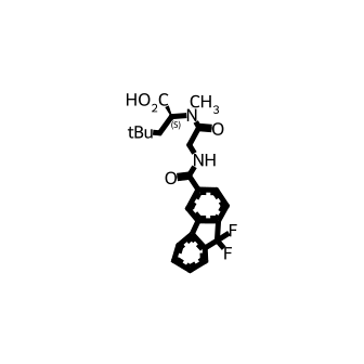 CN(C(=O)CNC(=O)c1ccc2c(c1)-c1ccccc1C2(F)F)[C@@H](CC(C)(C)C)C(=O)O